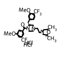 COc1cc(C(=O)N2CCN(CCN3C[C@@H](C)O[C@@H](C)C3)C[C@H]2Cc2ccc(C(F)(F)F)c(OC)c2)cc(C(F)(F)F)c1.Cl.Cl